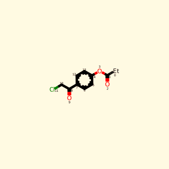 CCC(=O)Oc1ccc(C(=O)CCl)cc1